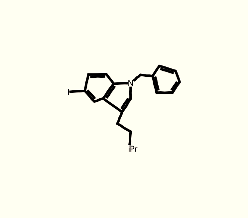 CC(C)CCc1cn(Cc2ccccc2)c2ccc(I)cc12